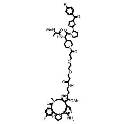 CN[C@H](C)C(=O)N[C@@H](C(=O)N1CCC[C@@H]1C1=NC(C(=O)c2ccc(F)cc2)CS1)C1CCN(C(=O)CCOCCOCCC(=O)NCCn2nc3c(c2OC)-c2cnc(N)c(c2)N2CCC[C@@H]2c2cc(F)ccc2C(=O)N(C)C3)CC1